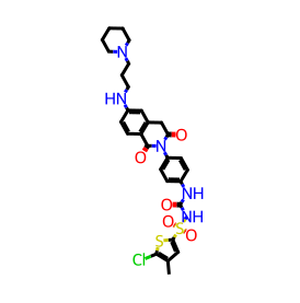 Cc1cc(S(=O)(=O)NC(=O)Nc2ccc(N3C(=O)Cc4cc(NCCCN5CCCCC5)ccc4C3=O)cc2)sc1Cl